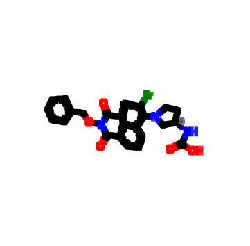 O=C(O)N[C@H]1CCN(c2c(Br)cc3c4c(cccc24)C(=O)N(OCc2ccccc2)C3=O)C1